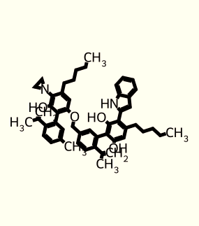 C=C(C)c1ccc(COc2cc(CCCCC)c(N3CC3)c(O)c2-c2cc(C)ccc2C(=C)C)cc1-c1c(O)cc(CCCCC)c(-c2cc3ccccc3[nH]2)c1O